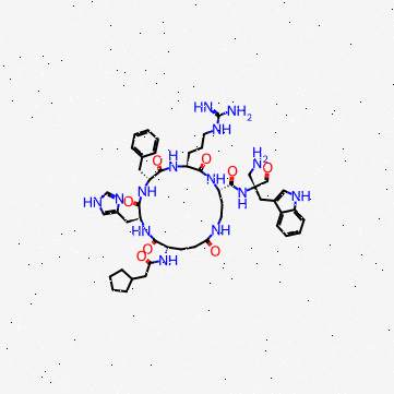 N=C(N)NCCC[C@@H]1NC(=O)[C@@H](Cc2ccccc2)NC(=O)[C@H](Cc2c[nH]cn2)NC(=O)[C@@H](NC(=O)CC2CCCC2)CCC(=O)NCC[C@@H](C(=O)N[C@@](C=O)(CN)Cc2c[nH]c3ccccc23)NC1=O